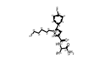 CC(C)C(NC(=O)c1cc(-c2ccc(F)cc2)n(CCCCCF)n1)C(N)=O